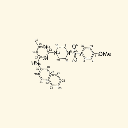 COc1ccc(S(=O)(=O)N2CCN(c3nc(C)cc(Nc4ccc5ccccc5c4)n3)CC2)cc1